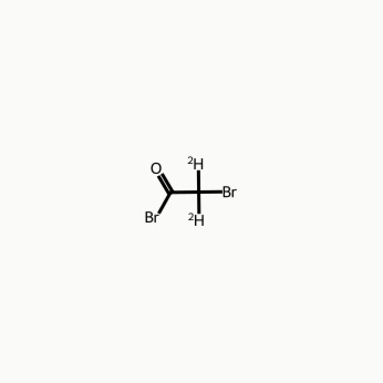 [2H]C([2H])(Br)C(=O)Br